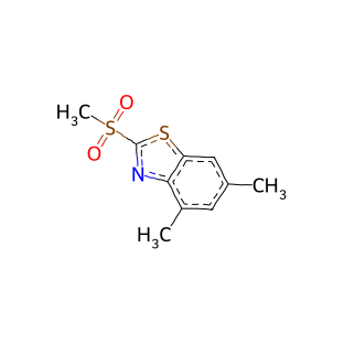 Cc1cc(C)c2nc(S(C)(=O)=O)sc2c1